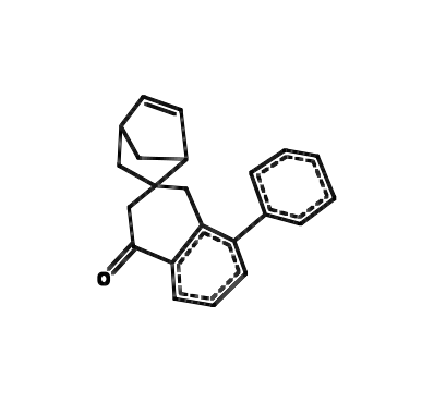 O=C1CC2(Cc3c1cccc3-c1ccccc1)CC1C=CC2C1